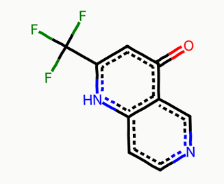 O=c1cc(C(F)(F)F)[nH]c2ccncc12